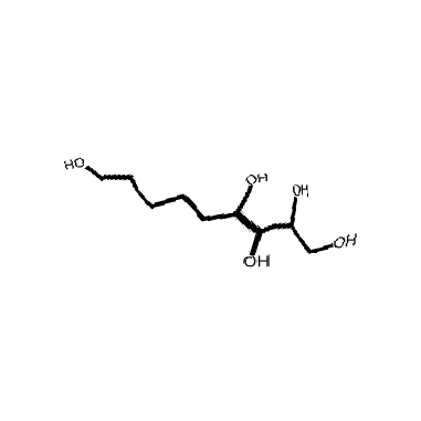 OCCCCCC(O)C(O)C(O)CO